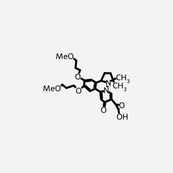 COCCCOc1cc2c(cc1OCCCOC)C1CCC(C)(C)N1n1cc(C3OC3O)c(=O)cc1-2